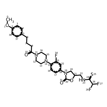 COc1ccc(CCCC(=O)N2CCN(c3ccc(N4CC(CNC(=S)C(F)F)OC4=O)cc3F)CC2)cc1